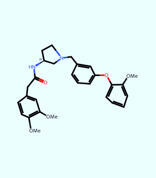 COc1ccc(CC(=O)N[C@H]2CCN(Cc3cccc(Oc4ccccc4OC)c3)C2)cc1OC